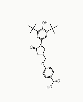 CC(C)(C)c1cc(N2CC(COc3ccc(C(=O)O)cc3)CC2=O)cc(C(C)(C)C)c1O